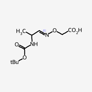 CC(/C=N/OCC(=O)O)NC(=O)OC(C)(C)C